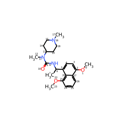 COc1ccc(C(C)NC(=O)N(C)C2CCN(C)CC2)c2c(OC)cccc12